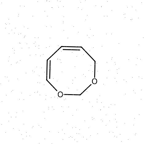 C1=CCOCOC=C1